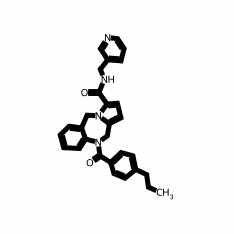 CCCc1ccc(C(=O)N2Cc3ccc(C(=O)NCc4cccnc4)n3Cc3ccccc32)cc1